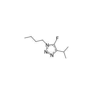 CCCCn1nnc(C(C)C)c1F